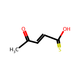 CC(=O)C=CC(O)=S